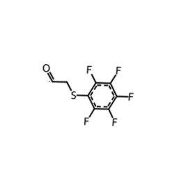 O=[C]CSc1c(F)c(F)c(F)c(F)c1F